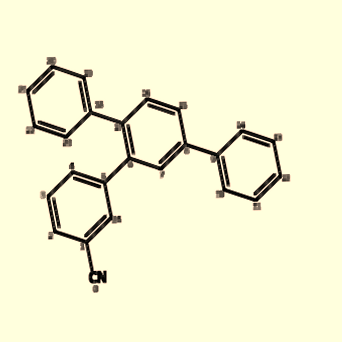 N#Cc1cccc(-c2cc(-c3ccccc3)ccc2-c2ccccc2)c1